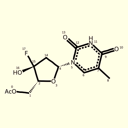 CC(=O)OC[C@H]1O[C@@H](n2cc(C)c(=O)[nH]c2=O)C[C@@]1(O)F